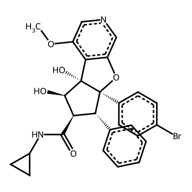 COc1cncc2c1[C@]1(O)[C@H](O)[C@H](C(=O)NC3CC3)[C@@H](c3ccccc3)[C@]1(c1ccc(Br)cc1)O2